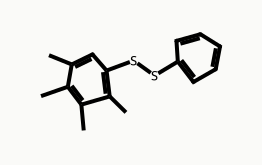 Cc1cc(SSc2ccccc2)c(C)c(C)c1C